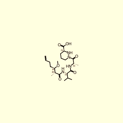 C=CCC[C@@H](OC)[C@@H](C)C(=O)N[C@H](C(=O)N[C@@H](C)C(=O)N1CCC[C@@H](C(=O)O)N1)C(C)C